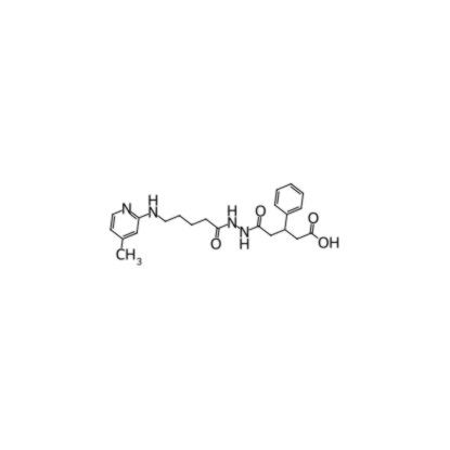 Cc1ccnc(NCCCCC(=O)NNC(=O)CC(CC(=O)O)c2ccccc2)c1